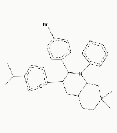 CC(C)c1ccc(C2CC3CCC(C)(C)CC3N(c3ccccc3)C2c2ccc(Br)cc2)cc1